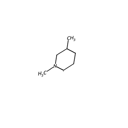 CC1CC[CH]N(C)C1